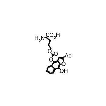 CC(=O)c1cc2c(OC(=O)OCCC[C@H](N)C(=O)O)c3ccccc3c(O)c2o1